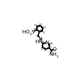 NC(=O)c1ccc(NN=Cc2ccccc2S(=O)(=O)O)nc1